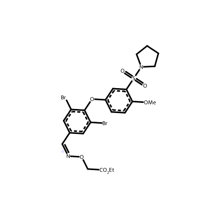 CCOC(=O)CO/N=C\c1cc(Br)c(Oc2ccc(OC)c(S(=O)(=O)N3CCCC3)c2)c(Br)c1